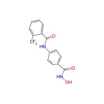 O=C(NO)c1ccc(NC(=O)c2ccccc2C(F)(F)F)cc1